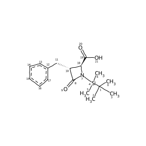 CC(C)(C)[Si](C)(C)N1C(=O)[C@H](Cc2ccccc2)[C@H]1C(=O)O